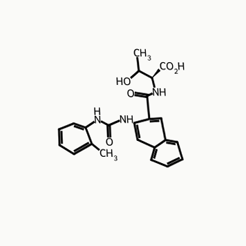 Cc1ccccc1NC(=O)Nc1cc2ccccc2cc1C(=O)N[C@H](C(=O)O)C(C)O